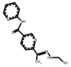 CC(=NNCS)c1ccc(C(=S)Nc2ccccn2)cn1